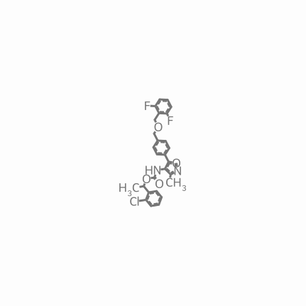 Cc1noc(-c2ccc(COCc3c(F)cccc3F)cc2)c1NC(=O)OC(C)c1ccccc1Cl